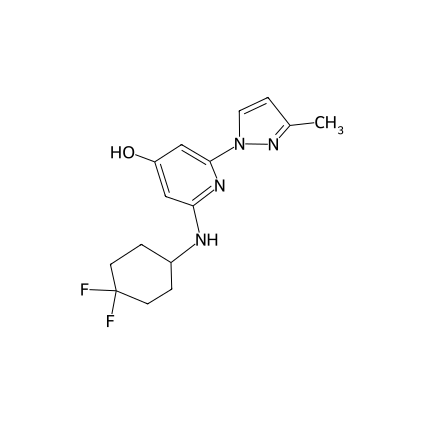 Cc1ccn(-c2cc(O)cc(NC3CCC(F)(F)CC3)n2)n1